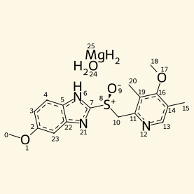 COc1ccc2[nH]c([S@@+]([O-])Cc3ncc(C)c(OC)c3C)nc2c1.O.[MgH2]